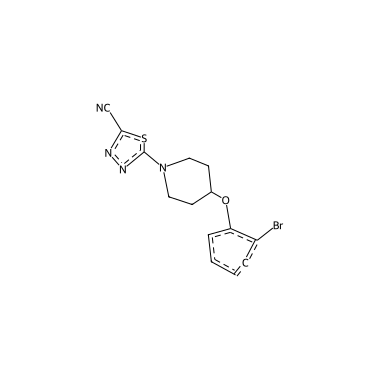 N#Cc1nnc(N2CCC(Oc3ccccc3Br)CC2)s1